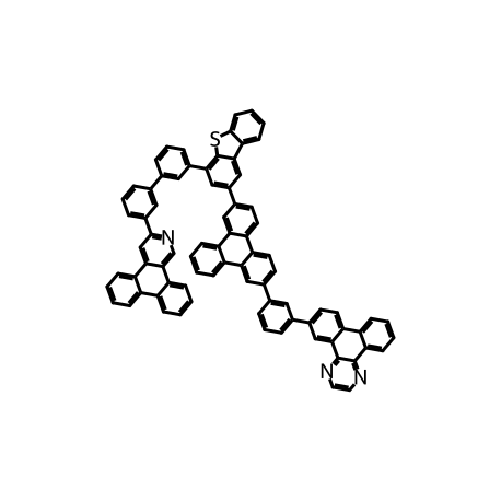 c1cc(-c2ccc3c4ccc(-c5cc(-c6cccc(-c7cccc(-c8cc9c%10ccccc%10c%10ccccc%10c9cn8)c7)c6)c6sc7ccccc7c6c5)cc4c4ccccc4c3c2)cc(-c2ccc3c4ccccc4c4nccnc4c3c2)c1